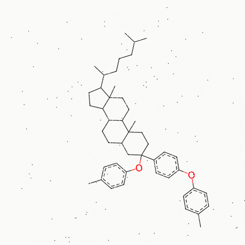 Cc1ccc(Oc2ccc(C3(Oc4ccc(C)cc4)CCC4(C)C(CCC5C4CCC4(C)C(C(C)CCCC(C)C)CCC54)C3)cc2)cc1